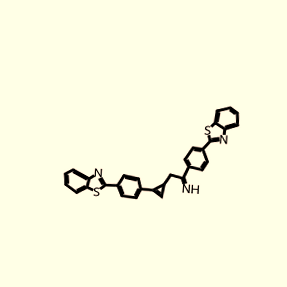 N=C(CC1C=C1c1ccc(-c2nc3ccccc3s2)cc1)c1ccc(-c2nc3ccccc3s2)cc1